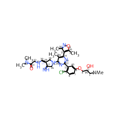 CNC[C@@H](O)COc1ccc(Cl)c(-c2nc(-c3c(C)noc3C)c(C)c(N3CC(=N)/C(=C\NCC(=O)N(C)C)C3)n2)c1